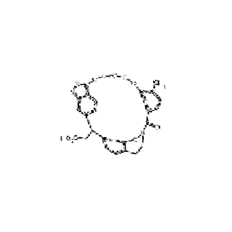 Cc1ccc2cc1OCCCCn1nnc3cc(ccc31)C(CC(=O)O)c1ccc3c(c1)CN(CC3)C2=O